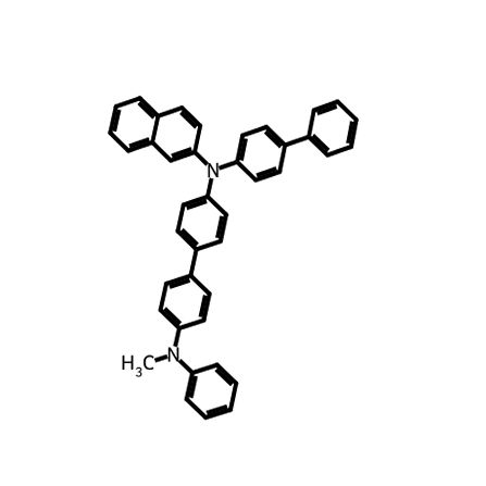 CN(c1ccccc1)c1ccc(-c2ccc(N(c3ccc(-c4ccccc4)cc3)c3ccc4ccccc4c3)cc2)cc1